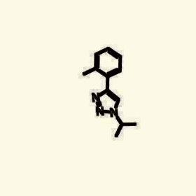 Cc1ccccc1-c1cn(C(C)C)nn1